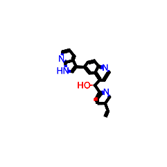 C=CC1CN2CCC1CC2[C@H](O)c1ccnc2ccc(-c3c[nH]c4ncccc34)cc12